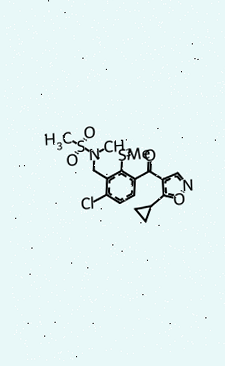 CSc1c(C(=O)c2cnoc2C2CC2)ccc(Cl)c1CN(C)S(C)(=O)=O